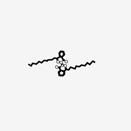 CCCCCCCCCCCC(=O)c1ccccc1C(=O)OOC(=O)c1ccccc1C(=O)CCCCCCCCCCC